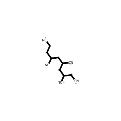 N#CCCC(C#N)CC(C#N)CC(C#N)CC#N